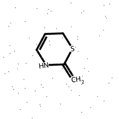 C=C1NC=CCS1